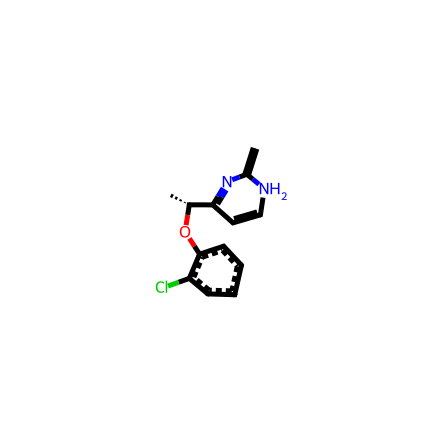 C=C(N)/N=C(\C=C/C)[C@@H](C)Oc1ccccc1Cl